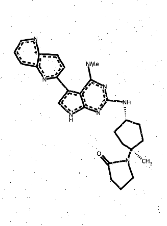 CNc1nc(N[C@H]2CC[C@](C)(N3CCCC3=O)CC2)nc2[nH]cc(-c3ccc4ncccc4n3)c12